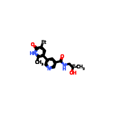 CCc1cc(-c2cncc(C(=O)NC[C@H](C)O)c2)c(C)[nH]c1=O